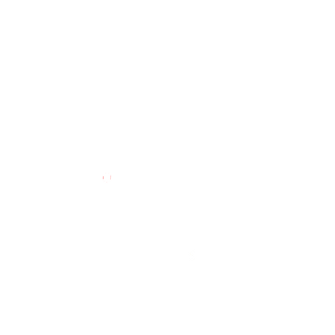 Cc1ccc(Sc2ccc(OCc3ccccc3)cc2)cc1